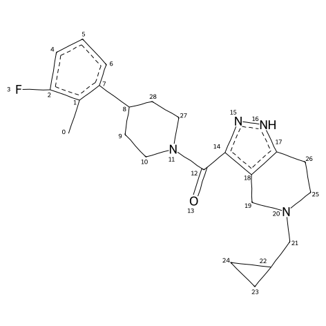 Cc1c(F)cccc1C1CCN(C(=O)c2n[nH]c3c2CN(CC2CC2)CC3)CC1